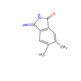 Cc1cc2c(cc1C)C(=O)NC2=N